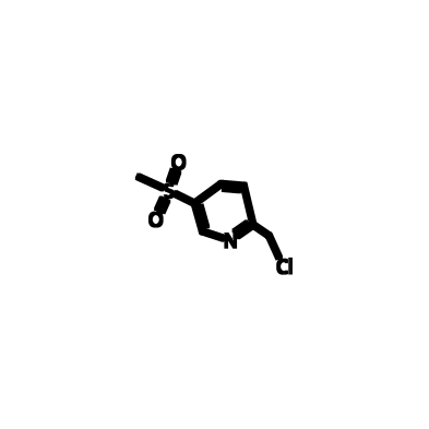 CS(=O)(=O)c1ccc(CCl)nc1